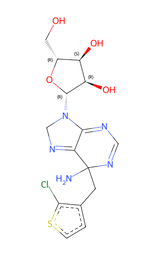 NC1(Cc2ccsc2Cl)N=CN=C2C1=NCN2[C@@H]1O[C@H](CO)[C@@H](O)[C@H]1O